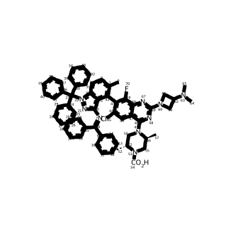 Cc1ccc2c(c(N=C(c3ccccc3)c3ccccc3)nn2C(c2ccccc2)(c2ccccc2)c2ccccc2)c1-c1c(Cl)cc2c(N3C[C@@H](C)N(C(=O)O)C[C@@H]3C)nc(N3CC(N(C)C)C3)nc2c1F